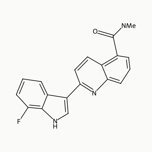 CNC(=O)c1cccc2nc(-c3c[nH]c4c(F)cccc34)ccc12